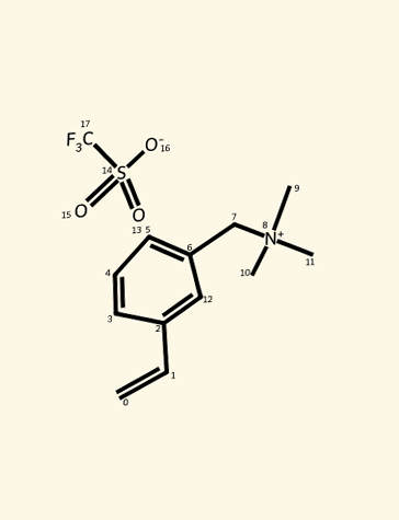 C=Cc1cccc(C[N+](C)(C)C)c1.O=S(=O)([O-])C(F)(F)F